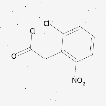 O=C(Cl)Cc1c(Cl)cccc1[N+](=O)[O-]